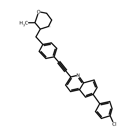 CC1OCC[C]C1Cc1ccc(C#Cc2ccc3cc(-c4ccc(Cl)cc4)ccc3n2)cc1